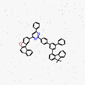 CC1(C)c2ccccc2-c2c(-c3cc(-c4ccccc4)cc(-c4ccc(-c5nc(-c6ccccc6)cc(-c6ccc7oc8ccc9ccccc9c8c7c6)n5)cc4)c3)cccc21